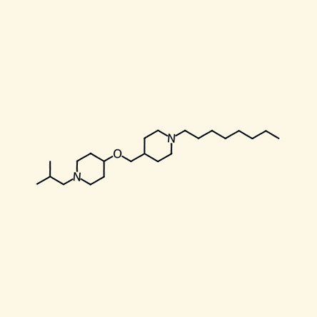 CCCCCCCCN1CCC(COC2CCN(CC(C)C)CC2)CC1